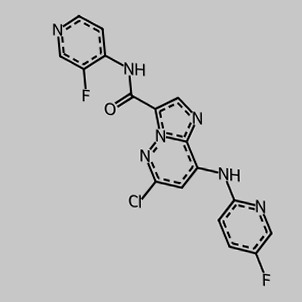 O=C(Nc1ccncc1F)c1cnc2c(Nc3ccc(F)cn3)cc(Cl)nn12